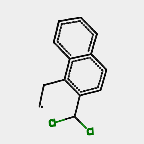 [CH2]Cc1c(C(Cl)Cl)ccc2ccccc12